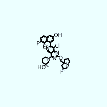 CCc1c(F)ccc2cc(O)cc(-c3ncc4c(N5CCC[C@@](C)(O)C5)nc(OCC56CCCN5C[C@H](F)C6)nc4c3Cl)c12